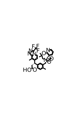 Cc1ccc([C@H](CC(=O)O)c2ccn3c(C(F)(F)F)nnc3c2C)cc1CN1CC(C)(C)Oc2ncccc2S1(=O)=O